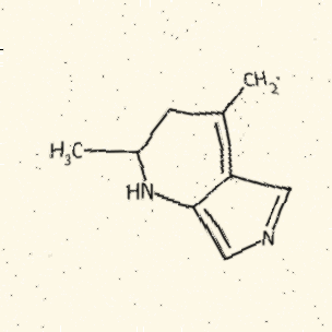 [CH2]C1=C2C=NC=C2NC(C)C1